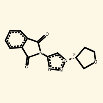 O=C1c2ccccc2C(=O)N1c1cn([C@@H]2CCOC2)nn1